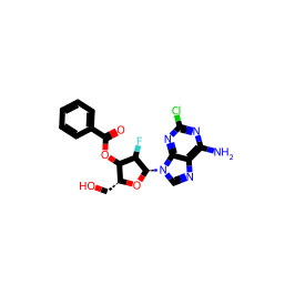 Nc1nc(Cl)nc2c1ncn2[C@@H]1O[C@H](CO)C(OC(=O)c2ccccc2)C1F